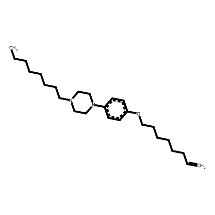 C=CCCCCCCOc1ccc(N2CCN(CCCCCCCC)CC2)cc1